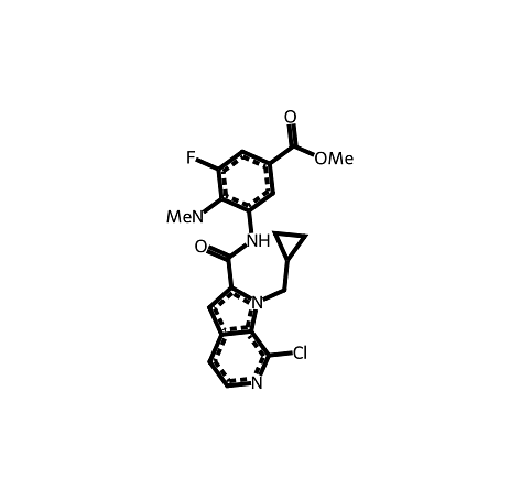 CNc1c(F)cc(C(=O)OC)cc1NC(=O)c1cc2ccnc(Cl)c2n1CC1CC1